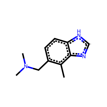 Cc1c(CN(C)C)ccc2[nH][c]nc12